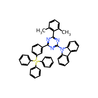 Cc1cccc(C)c1-c1nc(-c2cccc(S(c3ccccc3)(c3ccccc3)c3ccccc3)c2)nc(-n2c3ccccc3c3ccccc32)n1